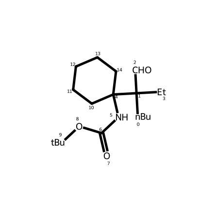 CCCCC(C=O)(CC)C1(NC(=O)OC(C)(C)C)CCCCC1